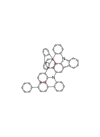 c1ccc(-c2ccc(-c3ccccc3N(c3cc4c5c(c3)c3ccccc3n5-c3ccccc3C43c4ccccc4-c4ccccc43)c3ccccc3-c3ccccc3)cc2)cc1